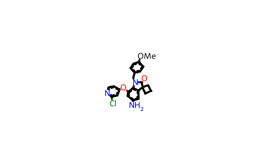 COc1ccc(CN2C(=O)C3(CCC3)c3cc(N)cc(Oc4ccnc(Cl)c4)c32)cc1